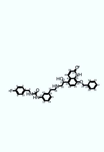 O=C(NCc1ccc(F)cc1)Nc1cccc(CCNC[C@@H](O)c2ccc(OCc3ccccc3)c3[nH]c(=O)ccc23)c1